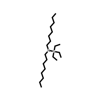 CCCCCCCCN(CCCCCCCC)[Si](CC)(CC)CC